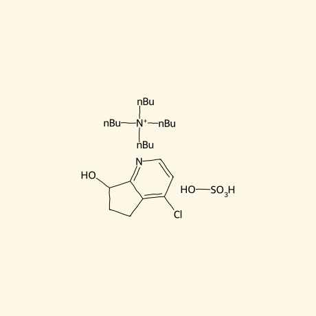 CCCC[N+](CCCC)(CCCC)CCCC.O=S(=O)(O)O.OC1CCc2c(Cl)ccnc21